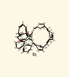 C1=Cc2cc3c(-c4ccccc4)c(-c4ccccc4)c(c(-c4ccccc4)c4nc(cc5ccc(cc1n2)[nH]5)C=C4)n3-c1ccccc1.[Pt]